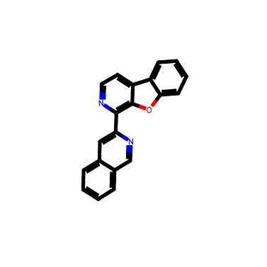 c1ccc2cc(-c3nccc4c3oc3ccccc34)ncc2c1